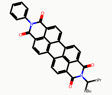 CCCCC(CCC)N1C(=O)c2ccc3c4ccc5c6c(ccc(c7ccc(c2c37)C1=O)c64)C(=O)N(c1ccccc1)C5=O